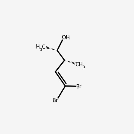 C[C@H](O)[C@H](C)C=C(Br)Br